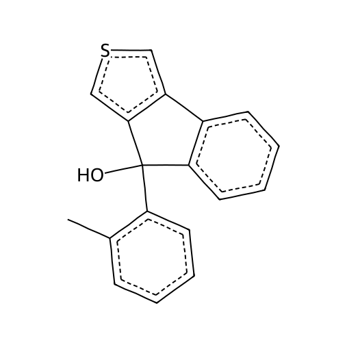 Cc1ccccc1C1(O)c2ccccc2-c2cscc21